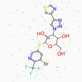 OCC1OC(Sc2cnc(C(F)(F)F)c(Br)c2)[C@@H](O)C(n2cc(-c3cscn3)nn2)C1O